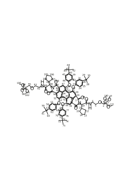 CO[Si](COCCNC(=O)C(C1CCCC1)N1C(=O)c2cc(Oc3ccc(C(C)(C)C)cc3)c3c4c(Oc5ccc(C(C)(C)C)cc5)cc5c6c(cc(Oc7ccc(C(C)(C)C)cc7)c(c7c(Oc8ccc(C(C)(C)C)cc8)cc(c2c37)C1=O)c64)C(=O)N(C(C(=O)NCCOC[Si](OC)(OC)OC)C1CCCC1)C5=O)(OC)OC